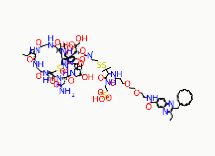 CCc1nc2cc(C(=O)NCCOCCOCCC(=O)NC(C(=O)NCCS(=O)(=O)O)C(C)(C)SSCCN(C)C(=O)Oc3ccc4c5c([nH]c4c3)[S+]([O-])C[C@@H]3NC(=O)CNC(=O)[C@H]([C@@H](C)CC)NC(=O)CNC(=O)[C@@H](C5)NC(=O)[C@H]([C@@H](C)[C@@H](O)CO)NC(=O)[C@@H]4C[C@@H](O)CN4C(=O)[C@H](CC(N)=O)NC3=O)ccc2nc1Cc1ccccccccc1